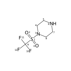 O=S(=O)(N1CCNCC1)C(F)(F)F